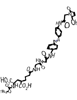 CC(C)(C)OC(=O)N[C@@H](CC(CCCC(=O)NCC(=O)NCC(=O)Nc1ccc(/N=N/c2ccc(NC(=O)CN3C(=O)C=CC3O)cc2)cc1)C(=O)O)C(=O)O